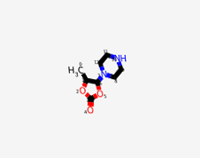 CC1OC(=O)OC1N1CCNCC1